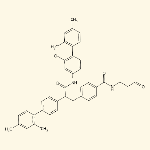 Cc1ccc(-c2ccc(C(Cc3ccc(C(=O)NCCC=O)cc3)C(=O)Nc3ccc(-c4ccc(C)cc4C)c(Cl)c3)cc2)c(C)c1